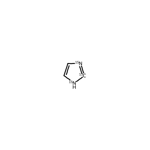 c1c[15nH][13cH][15n]1